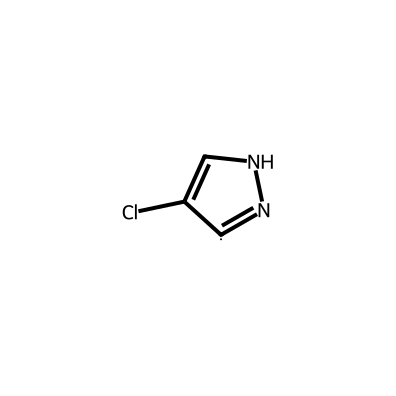 Clc1[c]n[nH]c1